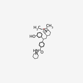 C=CCN1C2CCC(CC(c3ccc(C(=O)NN4CCCCC4)cc3)c3cccc(O)c3)C1CCC2C